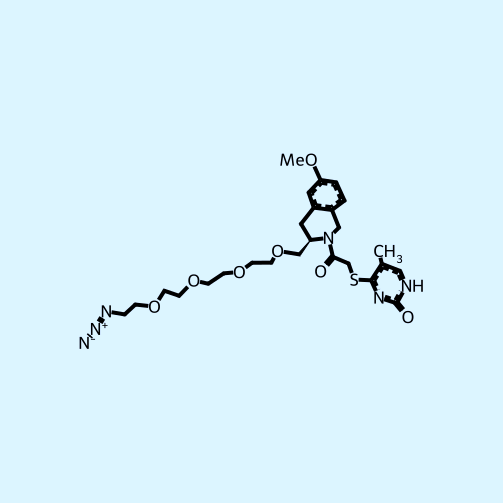 COc1ccc2c(c1)C[C@H](COCCOCCOCCOCCN=[N+]=[N-])N(C(=O)CSc1nc(=O)[nH]cc1C)C2